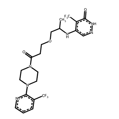 CC(COCCC(=O)N1CCN(c2ncccc2C(F)(F)F)CC1)Nc1cn[nH]c(=O)c1C(F)(F)F